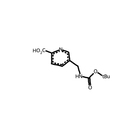 CC(C)(C)OC(=O)NCc1ccc(C(=O)O)nc1